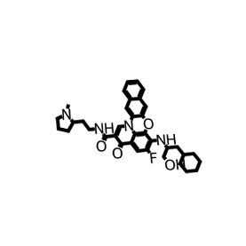 CN1CCCC1CCNC(=O)c1cn2c3c(c(NC(CO)CC4CCCCC4)c(F)cc3c1=O)Oc1cc3ccccc3cc1-2